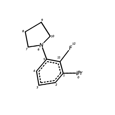 CC(C)c1cccc(N2CCCC2)c1F